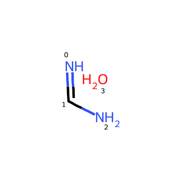 N=CN.O